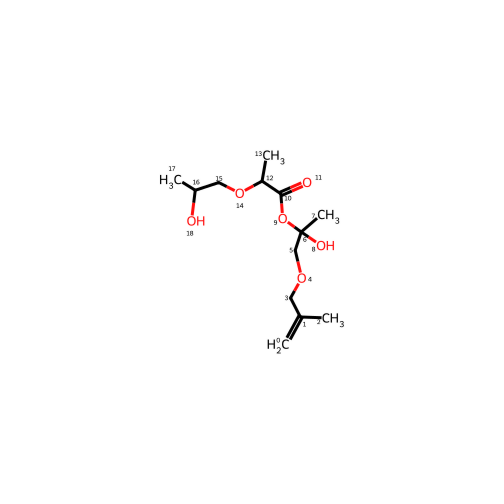 C=C(C)COCC(C)(O)OC(=O)C(C)OCC(C)O